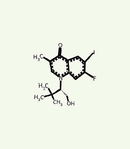 Cc1cn([C@H](CO)C(C)(C)C)c2cc(F)c(I)cc2c1=O